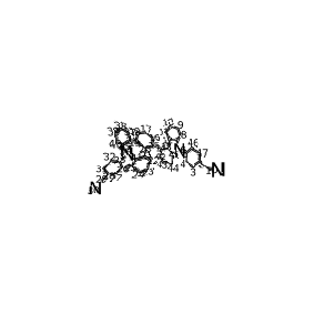 N#Cc1ccc(-n2c3ccccc3c3c(-c4ccccc4-c4cccc5c6cc(C#N)ccc6n(-c6ccccc6)c45)cccc32)cc1